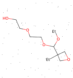 CCOC(OCCOCCO)C1(CC)COC1